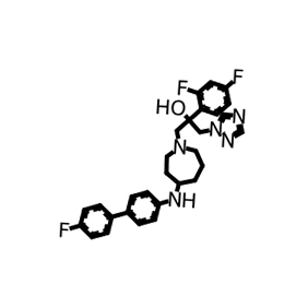 OC(CN1CCCC(Nc2ccc(-c3ccc(F)cc3)cc2)CC1)(Cn1cncn1)c1ccc(F)cc1F